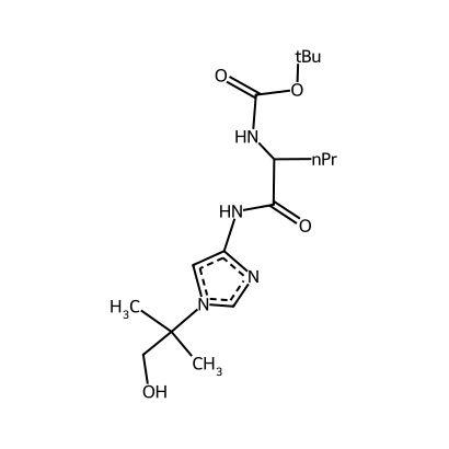 CCCC(NC(=O)OC(C)(C)C)C(=O)Nc1cn(C(C)(C)CO)cn1